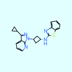 c1ccc2sc(N[C@H]3C[C@H](n4nc(C5CC5)c5cccnc54)C3)nc2c1